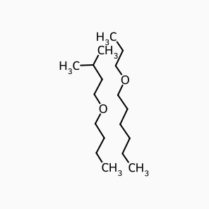 CCCCCCOCCC.CCCCOCCC(C)C